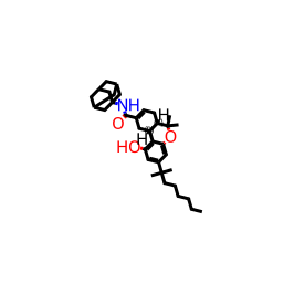 CCCCCCC(C)(C)c1cc(O)c2c(c1)OC(C)(C)[C@@H]1CC=C(C(=O)NC34CC5CC(CC(C5)C3)C4)C[C@@H]21